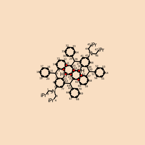 CC(C)CN(CC(C)C)c1cc(C(c2ccccc2)c2ccccc2)c(NCCNc2c(C(c3ccccc3)c3ccccc3)cc(N(CC(C)C)CC(C)C)cc2C(c2ccccc2)c2ccccc2)c(C(c2ccccc2)c2ccccc2)c1